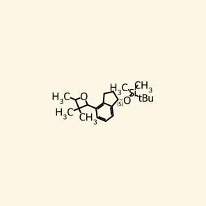 CC1OC(c2cccc3c2CC[C@@H]3O[Si](C)(C)C(C)(C)C)C1(C)C